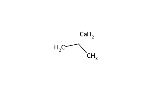 [CH2]CC.[CaH2]